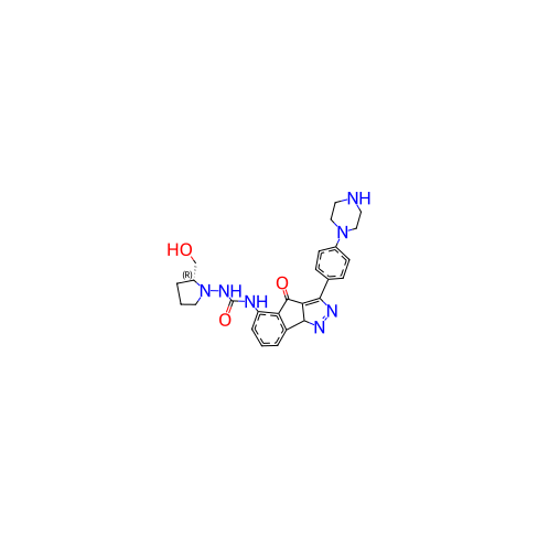 O=C(Nc1cccc2c1C(=O)C1=C(c3ccc(N4CCNCC4)cc3)N=NC12)NN1CCC[C@@H]1CO